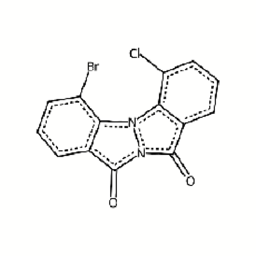 O=c1c2cccc(Cl)c2n2c3c(Br)cccc3c(=O)n12